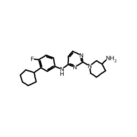 NC1CCCN(c2nccc(Nc3ccc(F)c(C4CCCCC4)c3)n2)C1